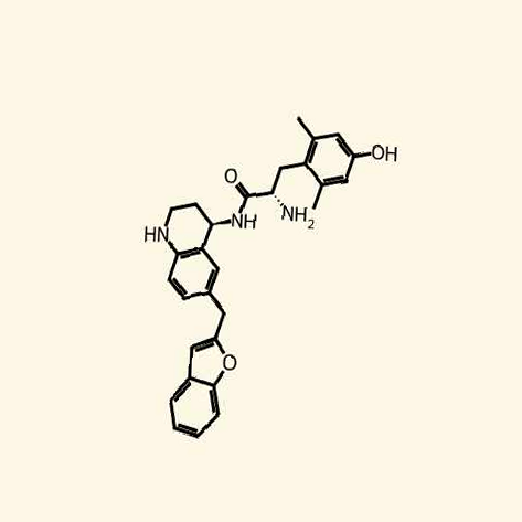 Cc1cc(O)cc(C)c1C[C@H](N)C(=O)N[C@@H]1CCNc2ccc(Cc3cc4ccccc4o3)cc21